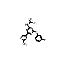 Cc1nc(-c2nc(Nc3cccc(F)c3)nc(NC(C)C)n2)co1